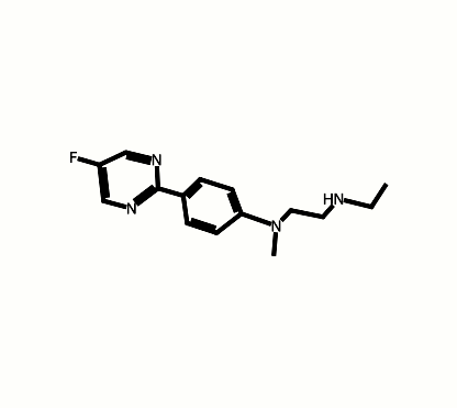 CCNCCN(C)c1ccc(-c2ncc(F)cn2)cc1